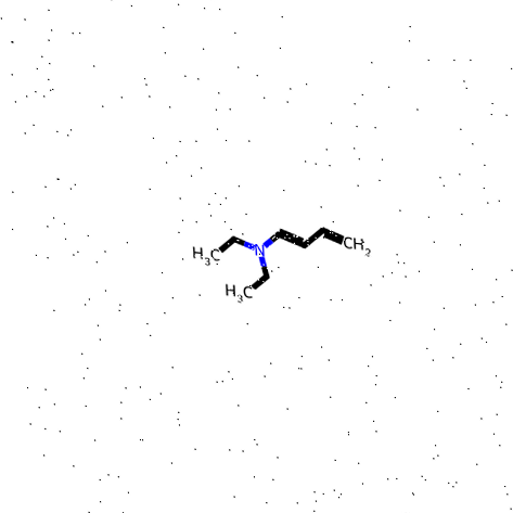 C=C/C=C/N(CC)CC